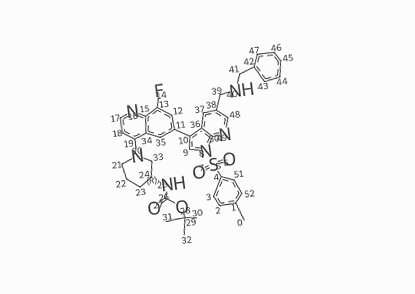 Cc1ccc(S(=O)(=O)n2cc(-c3cc(F)c4nccc(N5CCC[C@@H](NC(=O)OC(C)(C)C)C5)c4c3)c3cc(CNCc4ccccc4)cnc32)cc1